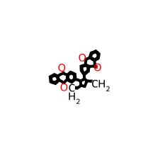 C=CC1CC(C=C)C(c2ccc3c(c2)C(=O)c2ccccc2C3=O)C1c1ccc2c(c1)C(=O)c1ccccc1C2=O